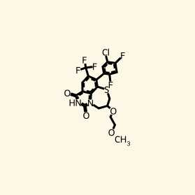 COCCOC1CSc2c(-c3cc(Cl)c(F)cc3F)c(C(F)(F)F)cc3c(=O)[nH]c(=O)n(c23)C1